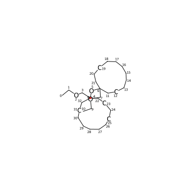 CCOCC1(OC2(COCC)CCCCCCCCCCC2)CCCCCCCCCCC1